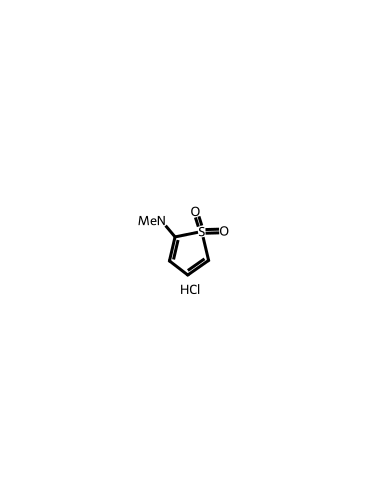 CNC1=CC=CS1(=O)=O.Cl